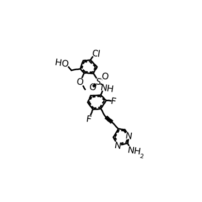 COc1c(CO)cc(Cl)cc1S(=O)(=O)Nc1ccc(F)c(C#Cc2cnc(N)nc2)c1F